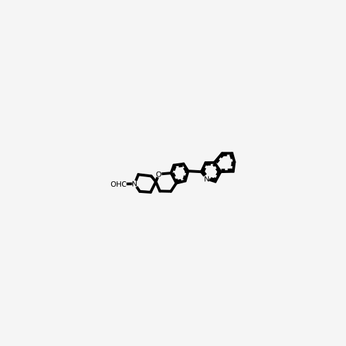 O=CN1CCC2(CCc3cc(-c4cc5ccccc5cn4)ccc3O2)CC1